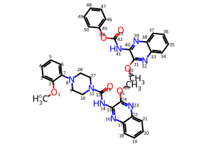 COc1ccccc1N1CCN(C(=O)Nc2nc3ccccc3nc2OC)CC1.COc1nc2ccccc2nc1NC(=O)Oc1ccccc1